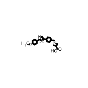 COc1ccc(-c2ncc(-c3ccc(CN4CC(C(=O)O)C4)cc3)[se]2)cc1